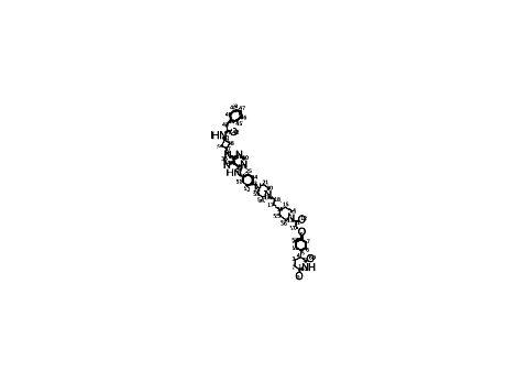 O=C1CC[C@@H](c2ccc(OCC(=O)N3CCC(CCN4CCN(c5ccc(Nc6ncnc7c6ncn7C6CC(NC(=O)Cc7ccccc7)C6)cc5)CC4)CC3)cc2)C(=O)N1